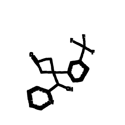 O=C1CC(c2cccc(C(F)(F)F)c2)(C(O)c2ccccn2)C1